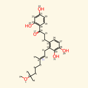 COC(C)(C)CCC/C(C)=C/Cc1c(CCC(=O)c2ccc(O)cc2O)ccc(O)c1O